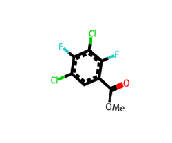 COC(=O)c1cc(Cl)c(F)c(Cl)c1F